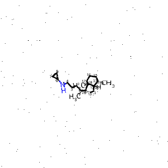 C[C@H](CCCNC1CC1)[C@H]1CC[C@H]2[C@@H](C)CCC[C@]12C